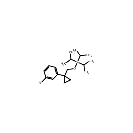 CC(C)[Si](OCC1(c2cccc(Br)c2)CC1)(C(C)C)C(C)C